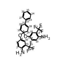 Nc1ccc(OC2(Oc3ccc(N)c(C(F)(F)F)c3)C=CC(c3ccccc3)=CC2)cc1C(F)(F)F